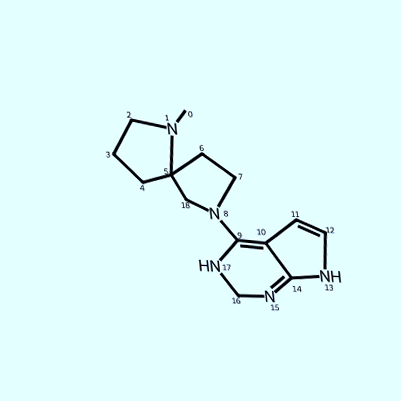 CN1CCCC12CCN(C1=c3cc[nH]c3=NCN1)C2